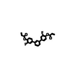 C=CC(=O)Oc1ccc(-c2cccc(-c3ccc(OC(=O)C=C)c(F)c3)c2)cc1F